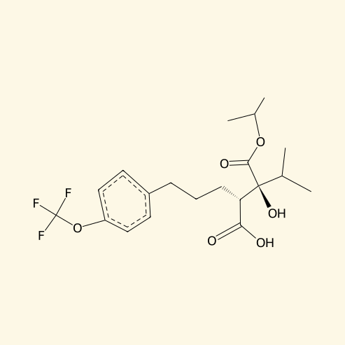 CC(C)OC(=O)[C@](O)(C(C)C)[C@@H](CCCc1ccc(OC(F)(F)F)cc1)C(=O)O